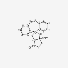 CCCC12CCC(=O)N1CC1(O2)c2ccccc2C=Cc2ccccc21